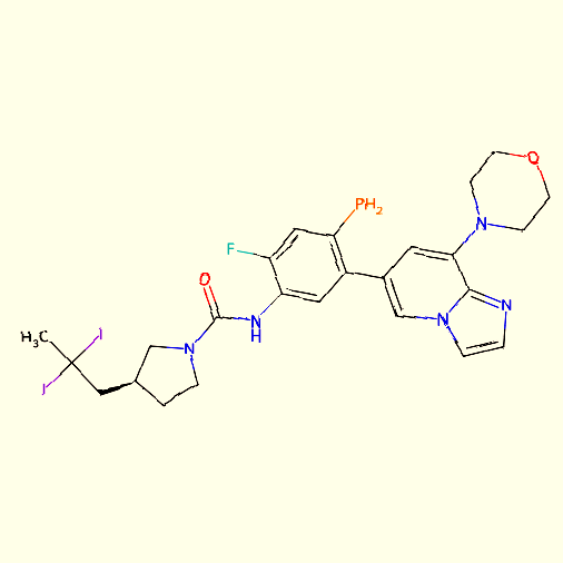 CC(I)(I)C[C@@H]1CCN(C(=O)Nc2cc(-c3cc(N4CCOCC4)c4nccn4c3)c(P)cc2F)C1